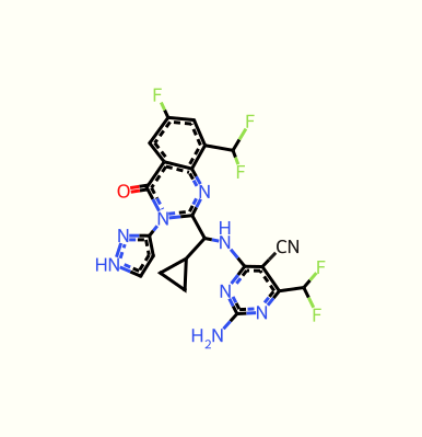 N#Cc1c(NC(c2nc3c(C(F)F)cc(F)cc3c(=O)n2-c2cc[nH]n2)C2CC2)nc(N)nc1C(F)F